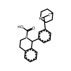 O=C(O)N1CCc2ccccc2C1c1cccc(C2CC3CCN2CC3)c1